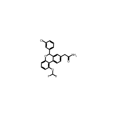 NC(=O)Cc1ccc2c(c1)C(c1cccc(Cl)c1)Oc1cccc(OC(F)F)c1-2